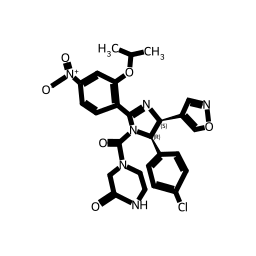 CC(C)Oc1cc([N+](=O)[O-])ccc1C1=N[C@@H](c2cnoc2)[C@@H](c2ccc(Cl)cc2)N1C(=O)N1CCNC(=O)C1